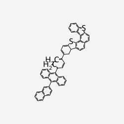 C=C(/C=C\C(=C)c1c2ccccc2c(-c2ccc3ccccc3c2)c2ccccc12)C1=CC=C2Sc3c(ccc4ccc5sc6ccccc6c5c34)C2C1